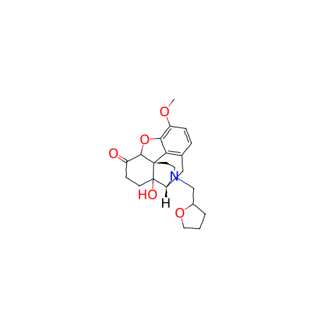 COc1ccc2c3c1OC1C(=O)CCC4(O)[C@@H](C2)N(CC2CCCO2)CC[C@]314